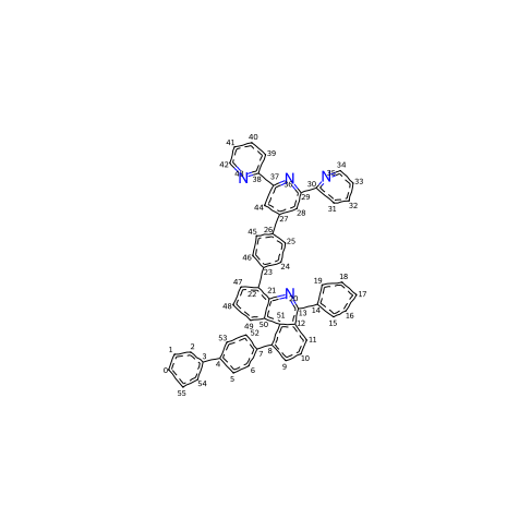 c1ccc(-c2ccc(-c3cccc4c(-c5ccccc5)nc5c(-c6ccc(-c7cc(-c8ccccn8)nc(-c8ccccn8)c7)cc6)cccc5c34)cc2)cc1